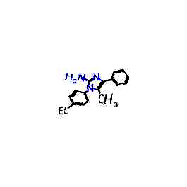 [CH2]Cc1ccc(-n2c(N)nc(-c3ccccc3)c2C)cc1